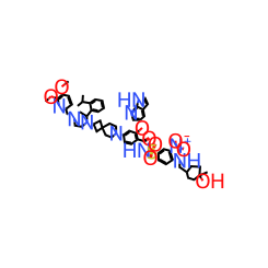 COc1ccc(CN2CCN(C3CC4(CCN(c5ccc(C(=O)NS(=O)(=O)c6ccc(NCC7CCC(C)(O)CC7)c([N+](=O)[O-])c6)c(Oc6cnc7[nH]ccc7c6)c5)CC4)C3)C(c3ccccc3C(C)C)C2)nc1OC